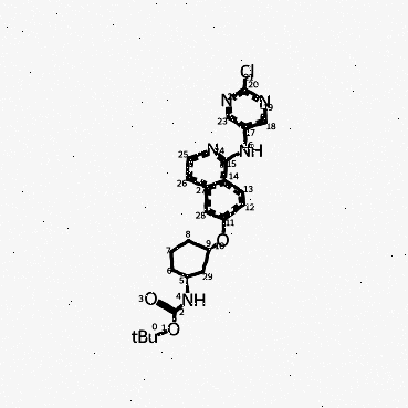 CC(C)(C)OC(=O)N[C@H]1CCC[C@@H](Oc2ccc3c(Nc4cnc(Cl)nc4)nccc3c2)C1